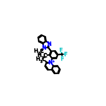 Cc1c(-c2nc3ccccc3n2C)cc(C(F)(F)F)cc1-[n+]1c(C)ccc2ccccc21